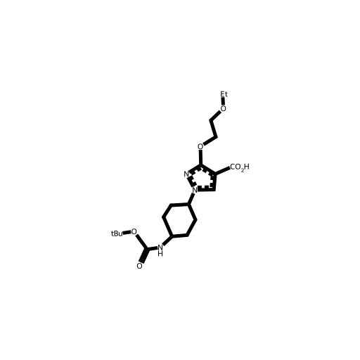 CCOCCOc1nn(C2CCC(NC(=O)OC(C)(C)C)CC2)cc1C(=O)O